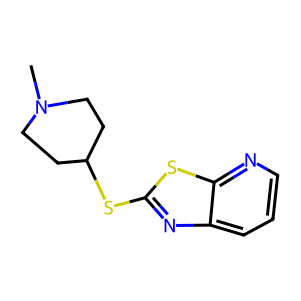 CN1CCC(Sc2nc3cccnc3s2)CC1